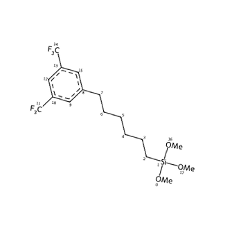 CO[Si](CCCCCCc1cc(C(F)(F)F)cc(C(F)(F)F)c1)(OC)OC